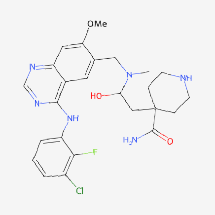 COc1cc2ncnc(Nc3cccc(Cl)c3F)c2cc1CN(C)C(O)CC1(C(N)=O)CCNCC1